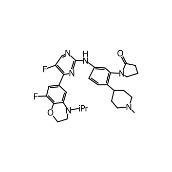 CC(C)N1CCOc2c(F)cc(-c3nc(Nc4ccc(C5CCN(C)CC5)c(N5CCCC5=O)c4)ncc3F)cc21